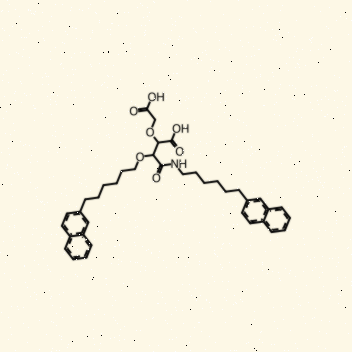 O=C(O)COC(C(=O)O)C(OCCCCCCc1ccc2ccccc2c1)C(=O)NCCCCCCc1ccc2ccccc2c1